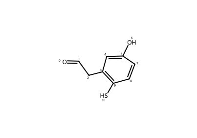 O=CCc1cc(O)ccc1S